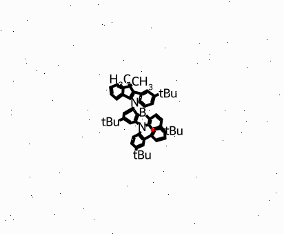 CC(C)(C)c1ccc(N2c3cc(C(C)(C)C)ccc3B3c4c2cc(C(C)(C)C)cc4-n2c4c(c5cc(C(C)(C)C)cc3c52)C(C)(C)c2ccccc2-4)c(-c2ccccc2)c1